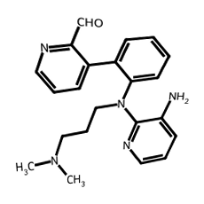 CN(C)CCCN(c1ccccc1-c1cccnc1C=O)c1ncccc1N